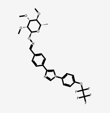 CO[C@@H]1[C@@H](OC)[C@H](C)O[C@@H](O/N=C/c2ccc(-c3cn(-c4ccc(OC(F)(F)C(F)(F)F)cc4)cn3)cc2)[C@@H]1OC